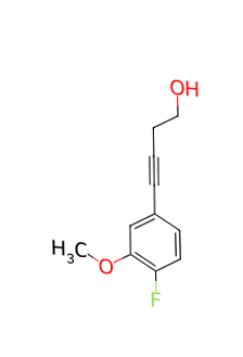 COc1cc(C#CCCO)ccc1F